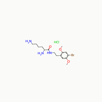 COc1cc(CCNC(=O)C(N)CCCCN)c(OC)cc1Br.Cl